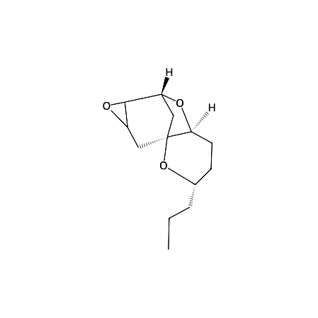 CCC[C@H]1CC[C@@H]2O[C@@H]3C[C@]2(CC2OC23)O1